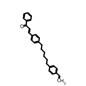 C=Cc1ccc(CCCCCCc2ccc(/C=C/C(=O)c3ccccc3)cc2)cc1